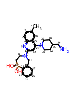 Cc1ccc2nc(N3CCS(O)(O)c4ccccc4C3)cc(N3CCC(CN)CC3)c2c1